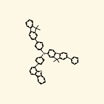 CC1(C)c2ccccc2-c2ccc(-c3ccc(N(c4ccc(-c5cccc6c5sc5ccccc56)cc4)c4ccc5c(c4)C(C)(C)c4cc(-c6ccccc6)ccc4-5)cc3)cc21